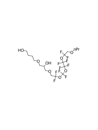 CCCOCC(F)(F)OC(F)(F)C(F)(F)OC(F)(F)OC(F)(F)COCC(O)COCCCCO